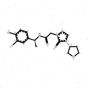 C[C@H](NC(=O)Cn1ncn([C@@H]2CCOC2)c1=O)c1ccc(Cl)c(F)c1